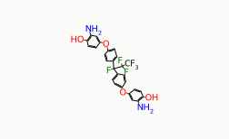 Nc1cc(Oc2ccc(C(F)(c3ccc(Oc4ccc(O)c(N)c4)cc3)C(F)(F)C(F)(F)F)cc2)ccc1O